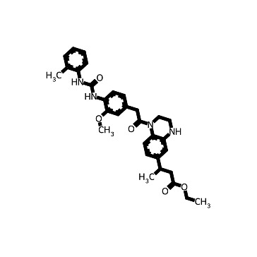 CCOC(=O)CC(C)c1ccc2c(c1)NCCN2C(=O)Cc1ccc(NC(=O)Nc2ccccc2C)c(OC)c1